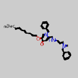 CCCCCCCCCCCCCCCCCCOc1cn(Cc2ccccc2)c(CNCCCN(C)Cc2ccccc2)cc1=O